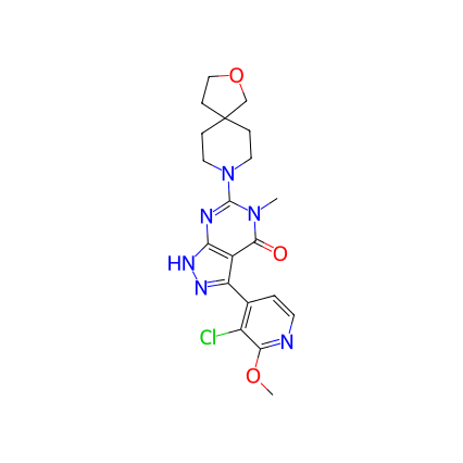 COc1nccc(-c2n[nH]c3nc(N4CCC5(CCOC5)CC4)n(C)c(=O)c23)c1Cl